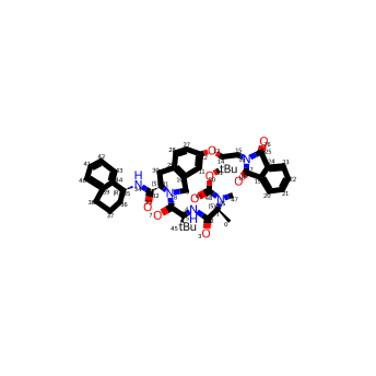 C[C@@H](C(=O)N[C@H](C(=O)N1Cc2cc(OCCN3C(=O)c4ccccc4C3=O)ccc2C[C@H]1C(=O)N[C@@H]1CCCc2ccccc21)C(C)(C)C)N(C)C(=O)OC(C)(C)C